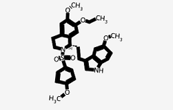 CCOc1cc2c(cc1OC)CCN(S(=O)(=O)c1ccc(OC)cc1)[C@H]2CCc1c[nH]c2ccc(OC)cc12